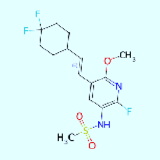 COc1nc(F)c(NS(C)(=O)=O)cc1/C=C/C1CCC(F)(F)CC1